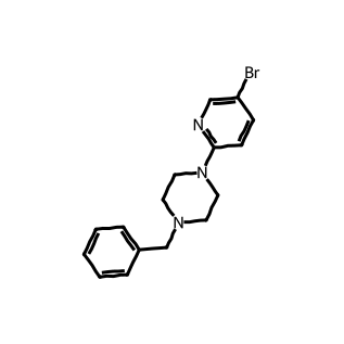 Brc1ccc(N2CCN(Cc3ccccc3)CC2)nc1